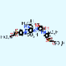 C=C(C)Nc1cc(/N=N/c2cc(/N=N/c3ccc(S(=O)(=O)CCOS(=O)(=O)O)cc3S(=O)(=O)O)c(O)cc2O)c(S(=O)(=O)O)cc1/N=N/c1ccc(S(=O)(=O)CCOS(=O)(=O)O)cc1